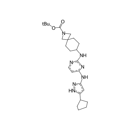 CC(C)(C)OC(=O)N1CC2(CCC(Nc3nccc(Nc4cc(C5CCCC5)[nH]n4)n3)CC2)C1